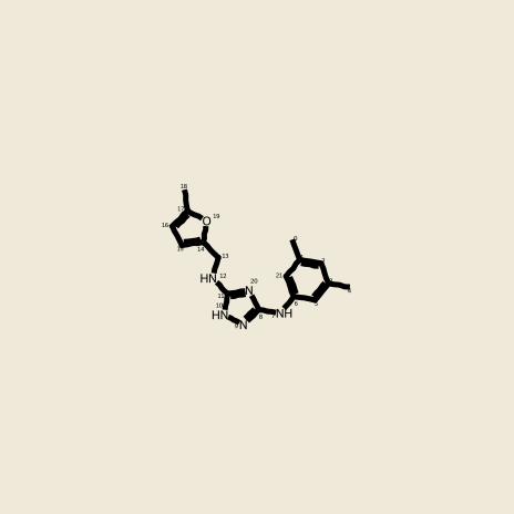 Cc1cc(C)cc(Nc2n[nH]c(NCc3ccc(C)o3)n2)c1